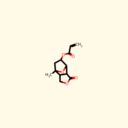 C=CC(=O)OC1CC2(C)OC1C1C(=O)OCC12